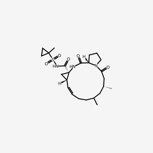 CC1CC/C=C\[C@@H]2C[C@@]2(C(=O)NS(=O)(=O)C2(C)CC2)NC(=O)[C@@H]2CCCN2C(=O)C[C@H](C)C1